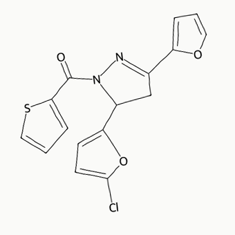 O=C(c1cccs1)N1N=C(c2ccco2)CC1c1ccc(Cl)o1